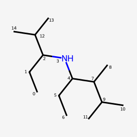 CCC(NC(CC)C(C)C(C)C)C(C)C